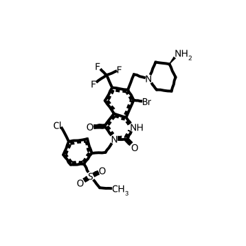 CCS(=O)(=O)c1ccc(Cl)cc1Cn1c(=O)[nH]c2c(Br)c(CN3CCC[C@H](N)C3)c(C(F)(F)F)cc2c1=O